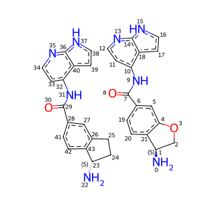 N[C@@H]1COc2cc(C(=O)Nc3ccnc4[nH]ccc34)ccc21.N[C@H]1CCc2cc(C(=O)Nc3ccnc4[nH]ccc34)ccc21